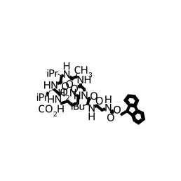 CC[C@H](C)[C@H](NC(=O)CNC(=O)OCC1c2ccccc2-c2ccccc21)C(=O)NCC(=O)N[C@@H](C)C(=O)N[C@H](C(=O)N[C@@H](CC(C)C)C(=O)N[C@@H](CCCCN)C(=O)O)C(C)C